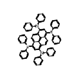 c1ccc(B(c2ccccc2)c2cc(N(c3ccccc3)c3ccccc3)c3ccc4c(B(c5ccccc5)c5ccccc5)cc(N(c5ccccc5)c5ccccc5)c5ccc2c3c45)cc1